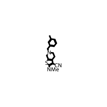 CNc1sc2c(c1C#N)CCN(Cc1cccc(C)c1)C2